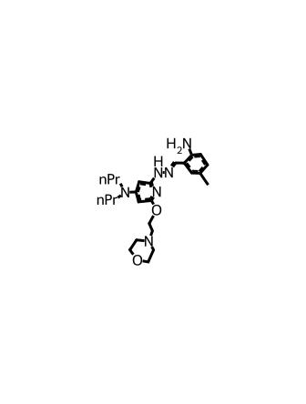 CCCN(CCC)c1cc(N/N=C/c2cc(C)ccc2N)nc(OCCN2CCOCC2)c1